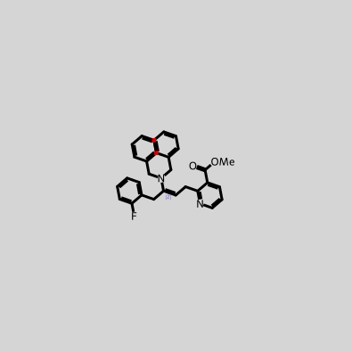 COC(=O)c1cccnc1C/C=C(/Cc1ccccc1F)N(Cc1ccccc1)Cc1ccccc1